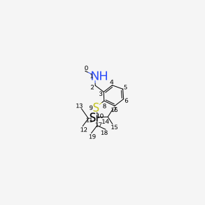 CNCc1ccccc1S[Si](C(C)C)(C(C)C)C(C)C